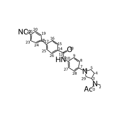 CC(=O)N(C)C1CCN(c2ccc(NC(=O)c3ccc(-c4ccc(C#N)cc4)cc3)cc2)C1